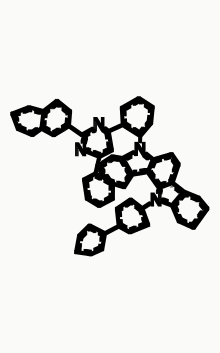 c1ccc(-c2ccc(-n3c4ccccc4c4ccc5c(c6ccccc6n5-c5ccccc5-c5cc(-c6ccccc6)nc(-c6ccc7ccccc7c6)n5)c43)cc2)cc1